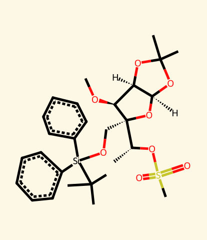 CO[C@H]1[C@H]2OC(C)(C)O[C@H]2O[C@@]1(CO[Si](c1ccccc1)(c1ccccc1)C(C)(C)C)[C@@H](C)OS(C)(=O)=O